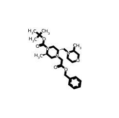 CC1COCCN1C[C@H]1CN(C(=O)OC(C)(C)C)[C@H](C)CN1CC(=O)OCc1ccccc1